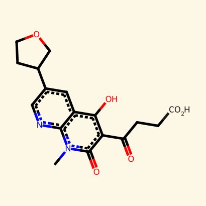 Cn1c(=O)c(C(=O)CCC(=O)O)c(O)c2cc(C3CCOC3)cnc21